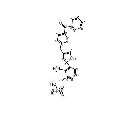 Nc1c(-c2cc(Cc3ccc(C(=O)c4ccccc4)cc3)no2)ccc[n+]1COP(=O)(O)O